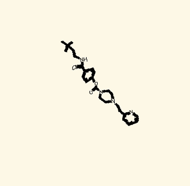 CC(C)(C)CCNC(=O)c1ccc(OC(=O)N2CCN(CCc3ccccn3)CC2)cc1